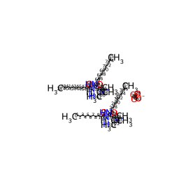 CCCCCCCCCCCC(=O)NC(CCC(C)[N+](C)(C)CC)NC(=O)CCCCCCCCCCC.CCCCCCCCCCCC(=O)NC(CCC(C)[N+](C)(C)CC)NC(=O)CCCCCCCCCCC.O=S(=O)([O-])[O-]